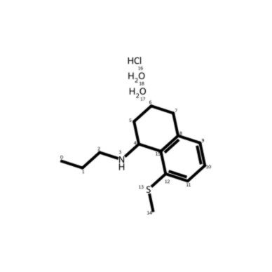 CCCNC1CCCc2cccc(SC)c21.Cl.O.O